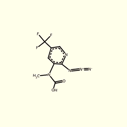 CN(C(=O)O)c1cc(C(F)(F)F)cnc1N=[N+]=[N-]